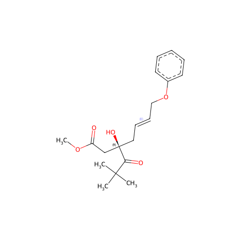 COC(=O)C[C@](O)(C/C=C/COc1ccccc1)C(=O)C(C)(C)C